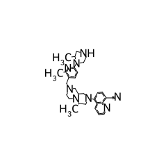 Cc1nc(N2CCNCC2C)ccc1CN1CCN2C(C)CN(c3ccc(C#N)c4ncccc34)CC2C1